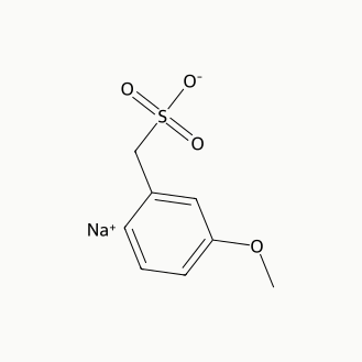 COc1cccc(CS(=O)(=O)[O-])c1.[Na+]